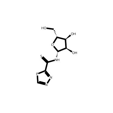 OC[C@H]1O[C@@H](NC(=S)C2=NN=C[P]2)[C@H](O)[C@@H]1O